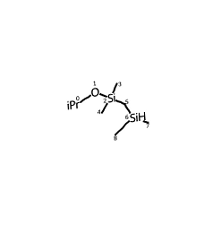 CC(C)O[Si](C)(C)C[SiH](C)C